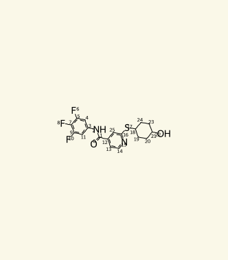 O=C(Nc1cc(F)c(F)c(F)c1)c1ccnc(SC2CCC(O)CC2)c1